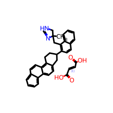 CC1(Cc2c(C3CCc4c(ccc5c4ccc4ccccc45)C3)ccc3ccccc23)CNC=N1.O=C(O)/C=C/C(=O)O